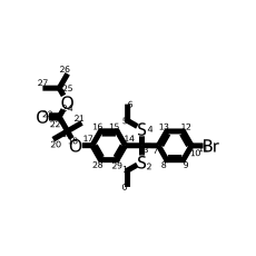 CCSC(SCC)(c1ccc(Br)cc1)c1ccc(OC(C)(C)C(=O)OC(C)C)cc1